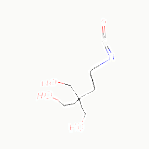 O=C=NCCC(CO)(CO)CO